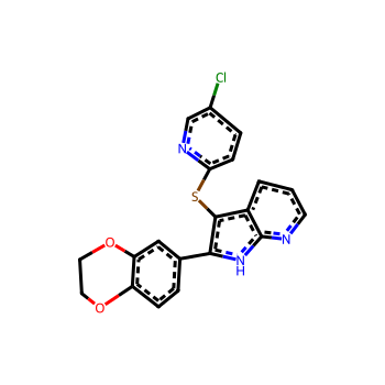 Clc1ccc(Sc2c(-c3ccc4c(c3)OCCO4)[nH]c3ncccc23)nc1